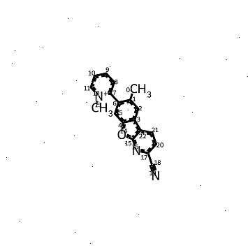 Cc1cc2c(cc1-c1cccc[n+]1C)oc1nc(C#N)ccc12